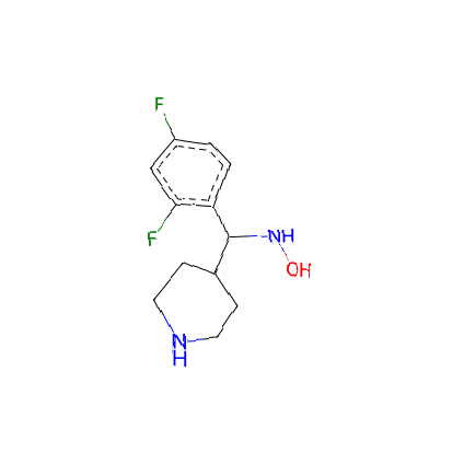 ONC(c1ccc(F)cc1F)C1CCNCC1